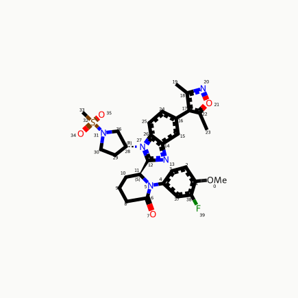 COc1ccc(N2C(=O)CCC[C@H]2c2nc3cc(-c4c(C)noc4C)ccc3n2[C@@H]2CCN(S(C)(=O)=O)C2)cc1F